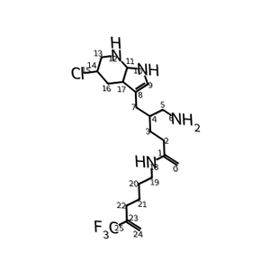 C=C(CCC(CN)CC1=CNC2NCC(Cl)CC12)NCCCCC(=C)C(F)(F)F